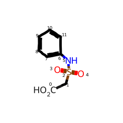 O=C(O)CS(=O)(=O)Nc1ccccc1